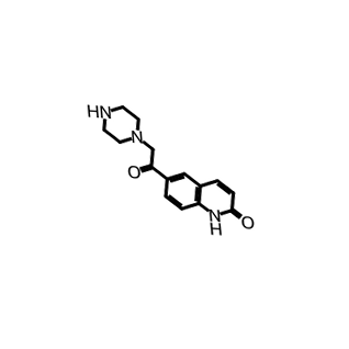 O=C(CN1CCNCC1)c1ccc2[nH]c(=O)ccc2c1